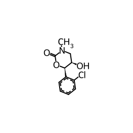 CN1C[C@@H](O)[C@@H](c2ccccc2Cl)OC1=O